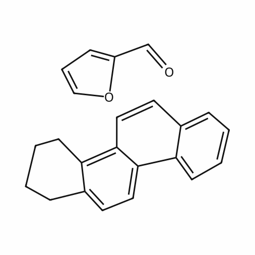 O=Cc1ccco1.c1ccc2c(c1)ccc1c3c(ccc12)CCCC3